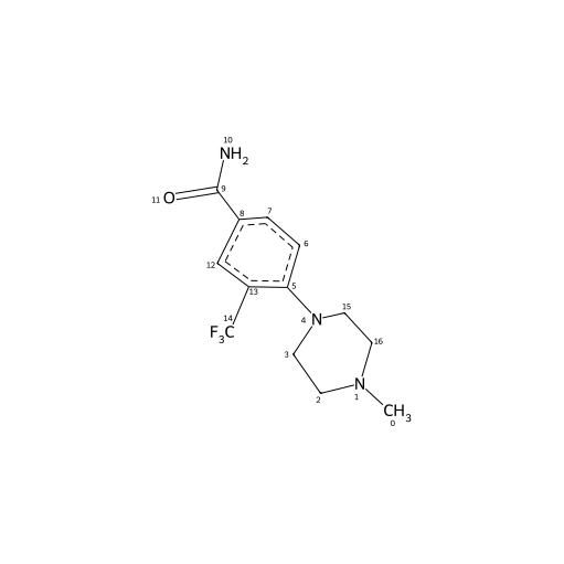 CN1CCN(c2ccc(C(N)=O)cc2C(F)(F)F)CC1